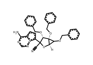 N#CC1(c2ccc3c(N)ncnn23)O[C@@H]2C(OCc3ccccc3)[C@]2(OCc2ccccc2)[C@H]1OCc1ccccc1